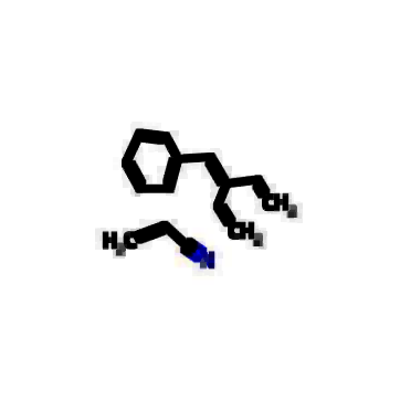 C=CC#N.C=CC(C=C)=Cc1ccccc1